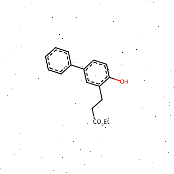 CCOC(=O)CCc1cc(-c2ccccc2)ccc1O